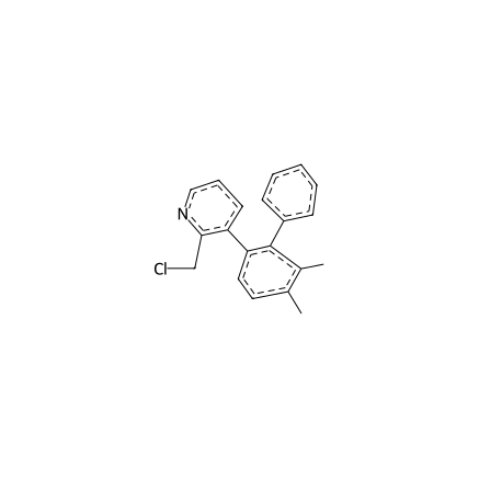 Cc1ccc(-c2cccnc2CCl)c(-c2ccccc2)c1C